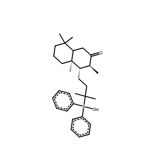 C[C@@H]1C(=O)CC2C(C)(C)CCC[C@]2(C)[C@H]1CCC(C)(C)[Si](O)(c1ccccc1)c1ccccc1